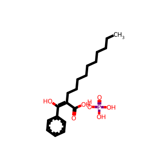 CCCCCCCCCCC(C(=O)O)=C(O)c1ccccc1.O=P(O)(O)O